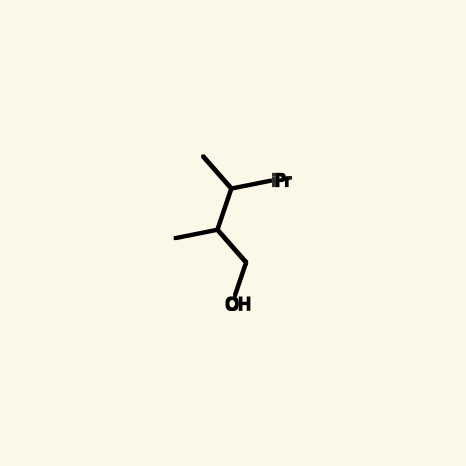 CC(C)C(C)C(C)CO